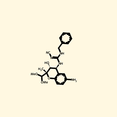 COC(OC)[C@@]1(C)Oc2ccc(N)cc2[C@H](NC(=NC#N)NCc2ccccc2)[C@H]1O